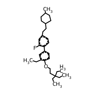 CCc1cc(-c2ccc(CCC3CCC(C)CC3)cc2F)ccc1OCCC(CC)(CC)CC